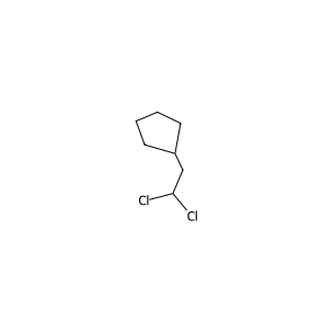 ClC(Cl)CC1CCCC1